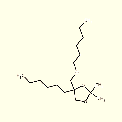 CCCCCCOCC1(CCCCCC)COC(C)(C)O1